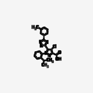 Cc1cccc(-c2nc(-c3c(Cl)c(C(=O)O)nn3-c3ccccc3C(C)C)ns2)c1